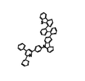 c1ccc(-c2cc(-c3ccccc3)nc(-c3ccc(-n4c5ccccc5c5cc(-c6ccccc6-c6ccccc6-c6cccc7c6sc6ccccc67)ccc54)cc3)c2)cc1